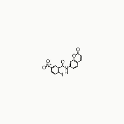 O=C(Nc1ccc2ccc(=O)oc2c1)c1cc([N+](=O)[O-])ccc1I